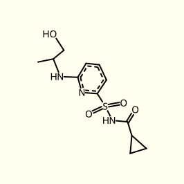 CC(CO)Nc1cccc(S(=O)(=O)NC(=O)C2CC2)n1